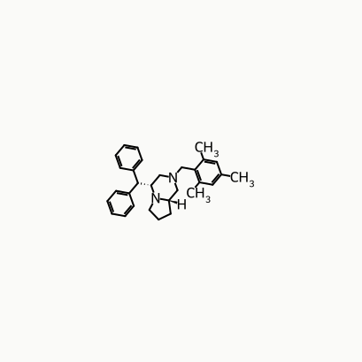 Cc1cc(C)c(CN2C[C@@H]3CCCN3[C@H](C(c3ccccc3)c3ccccc3)C2)c(C)c1